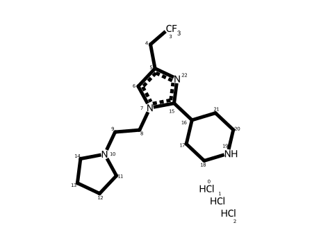 Cl.Cl.Cl.FC(F)(F)Cc1cn(CCN2CCCC2)c(C2CCNCC2)n1